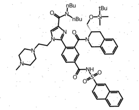 CCCCN(CCCC)C(=O)c1cn(CCN2CCN(C)CC2)c(-c2ccc(C(=O)NS(=O)(=O)c3ccc4ccccc4c3)cc2C(=O)N2Cc3ccccc3C[C@H]2CO[Si](C)(C)C(C)(C)C)n1